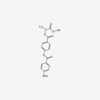 CCCCCCCCCCc1ccc(C(=O)Oc2ccc(C(=O)OC(C(=O)OCCC)C(F)(F)F)cc2)cc1